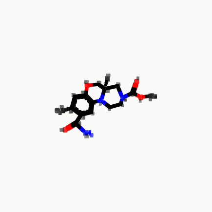 CC(C)(C)OC(=O)N1CCN2c3cc(C(N)=O)c([N+](=O)[O-])cc3OC[C@H]2C1